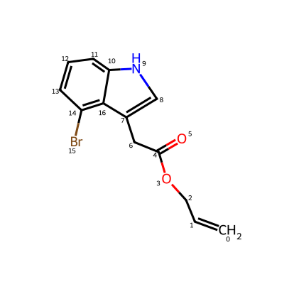 C=CCOC(=O)Cc1c[nH]c2cccc(Br)c12